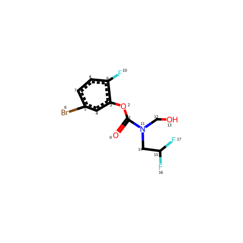 O=C(Oc1cc(Br)ccc1F)N(CO)CC(F)F